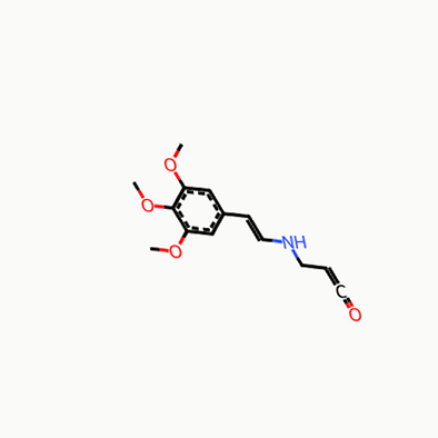 COc1cc(C=CNCC=C=O)cc(OC)c1OC